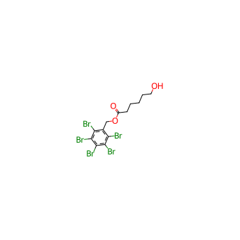 O=C(CCCCCO)OCc1c(Br)c(Br)c(Br)c(Br)c1Br